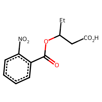 CCC(CC(=O)O)OC(=O)c1ccccc1[N+](=O)[O-]